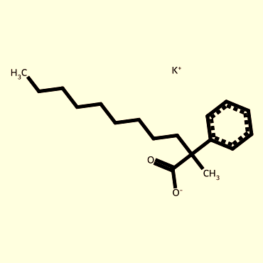 CCCCCCCCCC(C)(C(=O)[O-])c1ccccc1.[K+]